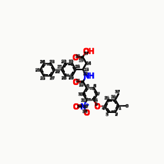 Cc1ccc(Oc2ccc(C(=O)NC(CC(=O)O)c3ccc(-c4ccccc4)cc3)cc2[N+](=O)[O-])cc1C